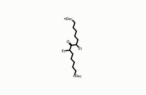 CCCCCCCCCCCCCCCC(CC)C(=O)C(CC)CCCCCCCCCCCCCCC